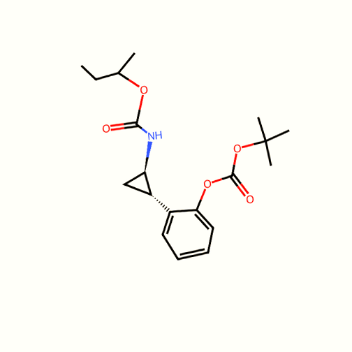 CCC(C)OC(=O)N[C@@H]1C[C@H]1c1ccccc1OC(=O)OC(C)(C)C